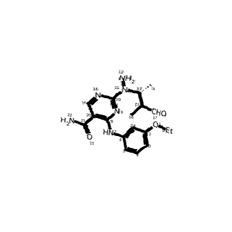 CCOc1cccc(Nc2nc(N(N)[C@H](C)C(C)C=O)ncc2C(N)=O)c1